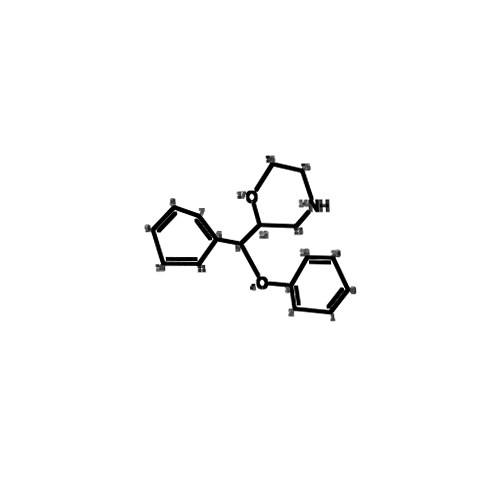 c1ccc(OC(c2ccccc2)C2CNCCO2)cc1